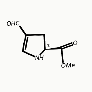 COC(=O)[C@@H]1CC(C=O)=CN1